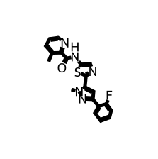 Cc1cccnc1C(=O)Nc1cnc(-c2cc(-c3ccccc3F)nn2C)s1